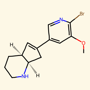 COc1cc(C2=C[C@@H]3CCCN[C@@H]3C2)cnc1Br